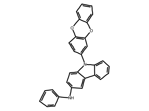 c1ccc(Nc2ccc3c(c2)c2ccccc2n3-c2ccc3c(c2)Oc2ccccc2O3)cc1